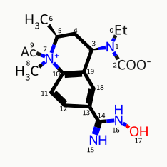 CCN(C(=O)[O-])[C@@H]1C[C@H](C)[N+](C)(C(C)=O)c2ccc(C(=N)NO)cc21